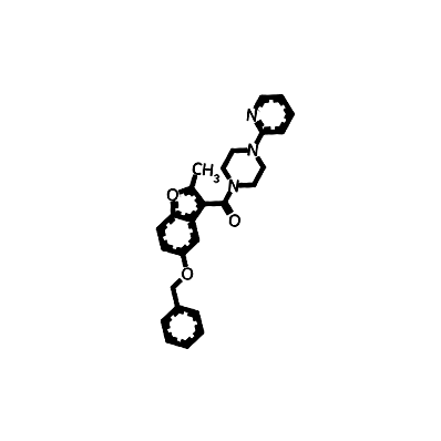 Cc1oc2ccc(OCc3ccccc3)cc2c1C(=O)N1CCN(c2ccccn2)CC1